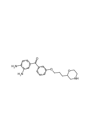 Nc1ccc(C(=O)c2cccc(OCCCC3CNCCO3)c2)cc1N